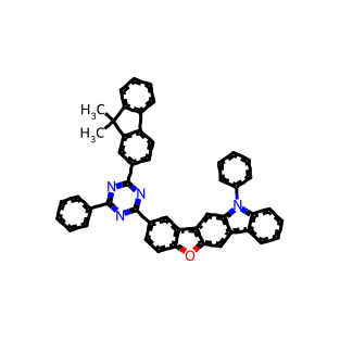 CC1(C)c2ccccc2-c2ccc(-c3nc(-c4ccccc4)nc(-c4ccc5oc6cc7c8ccccc8n(-c8ccccc8)c7cc6c5c4)n3)cc21